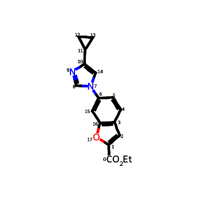 CCOC(=O)c1cc2ccc(-n3cnc(C4CC4)c3)cc2o1